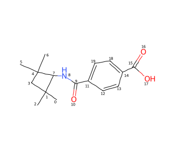 CC1(C)CC(C)(C)C1NC(=O)c1ccc(C(=O)O)cc1